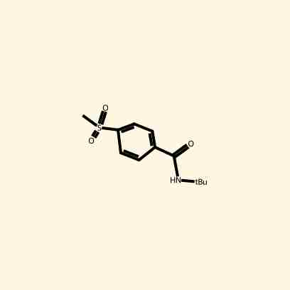 CC(C)(C)NC(=O)c1ccc(S(C)(=O)=O)cc1